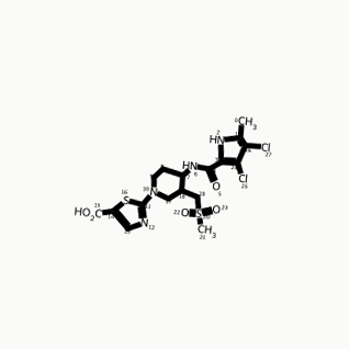 Cc1[nH]c(C(=O)NC2CCN(c3ncc(C(=O)O)s3)CC2CS(C)(=O)=O)c(Cl)c1Cl